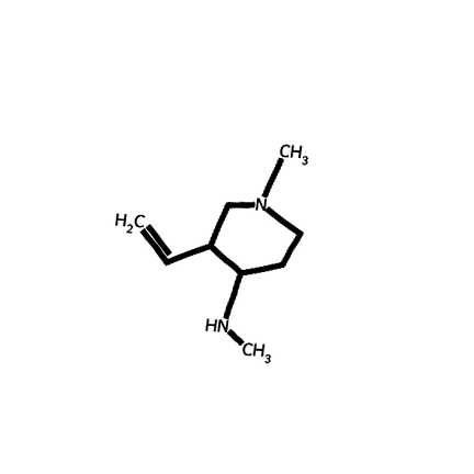 C=CC1CN(C)CCC1NC